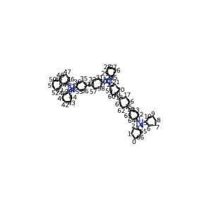 c1ccc(N(c2ccccc2)c2ccc(-c3ccc(-c4ccc(N(c5ccccc5)c5ccc(-c6ccc(N(c7ccccc7)c7cccc8ccccc78)cc6)cc5)cc4)cc3)cc2)cc1